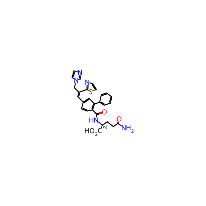 NC(=O)CC[C@H](NC(=O)c1ccc(C=C(Cn2ccnc2)c2nccs2)cc1-c1ccccc1)C(=O)O